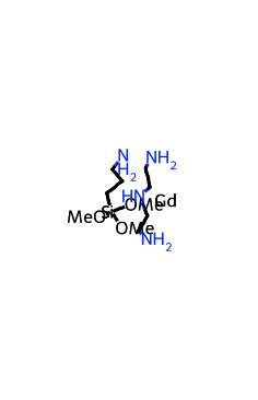 CO[Si](CCCN)(OC)OC.NCCNCCN.[Gd]